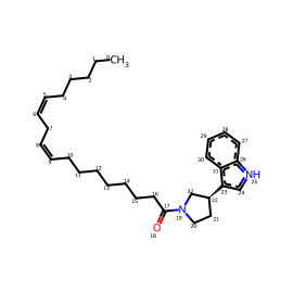 CCCCC/C=C\C/C=C\CCCCCCCC(=O)N1CC[C@H](c2c[nH]c3ccccc23)C1